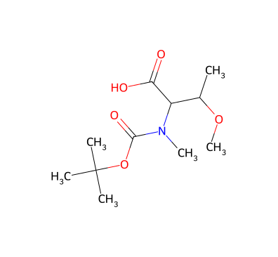 COC(C)C(C(=O)O)N(C)C(=O)OC(C)(C)C